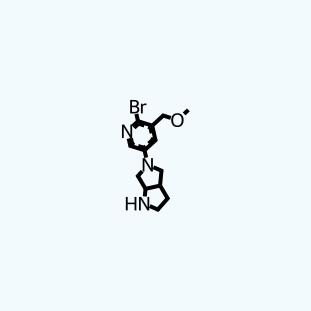 COCc1cc(N2CC3CCNC3C2)cnc1Br